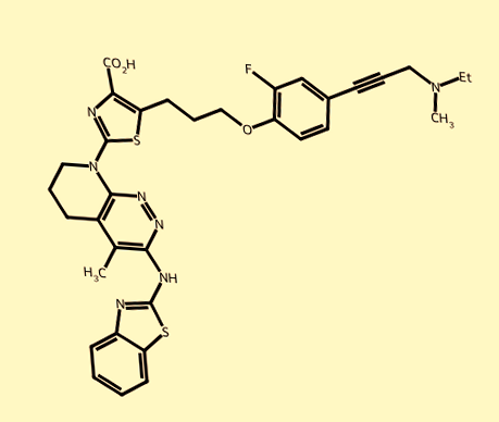 CCN(C)CC#Cc1ccc(OCCCc2sc(N3CCCc4c3nnc(Nc3nc5ccccc5s3)c4C)nc2C(=O)O)c(F)c1